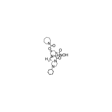 CN1C[C@@H](OC(=O)N2CCCCCC2)C[C@H](C(=O)NO)[C@H]1C(=O)N1CCN(c2ccccc2)CC1